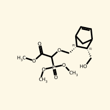 COC(=O)C(OC[C@@H]1C2C=CC(C2)[C@@H]1CO)P(=O)(OC)OC